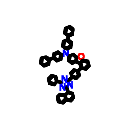 c1ccc(-c2ccc(N(c3ccc(-c4ccccc4)cc3)c3ccc4c(c3)oc3cccc(-c5ccc(-c6nc(-c7ccccc7)nc(-c7cccc8ccccc78)n6)cc5)c34)cc2)cc1